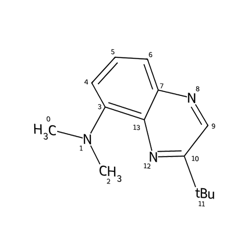 CN(C)c1cccc2ncc(C(C)(C)C)nc12